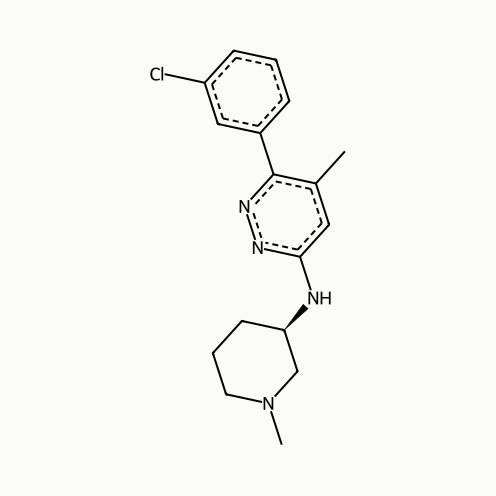 Cc1cc(N[C@@H]2CCCN(C)C2)nnc1-c1cccc(Cl)c1